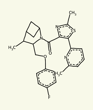 Cc1cccc(-c2sc(C)nc2C(=O)N2C3CC(C3)C(C)C2COc2ccc(F)cc2)n1